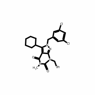 CC(C)Cn1c(=O)n(C)c(=O)c2c(C3CCCCC3)n(Cc3cc(Cl)cc(Cl)c3)nc21